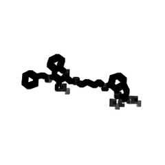 Cc1c(COCCCCOc2cccc3c2OC(C)(C)C3)nc2ccccc2c1OCc1ccccc1